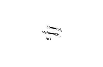 CCC.CNC.Cl